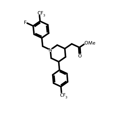 COC(=O)CC1CC(c2ccc(C(F)(F)F)cc2)CN(Cc2ccc(C(F)(F)F)c(F)c2)C1